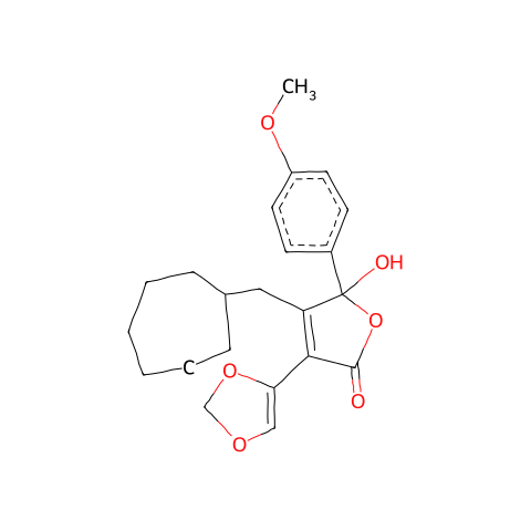 COc1ccc(C2(O)OC(=O)C(C3=COCO3)=C2CC2CCCCCC2)cc1